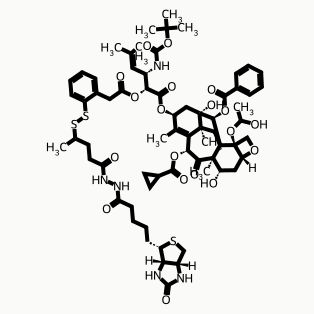 CC(C)=C[C@H](NC(=O)OC(C)(C)C)[C@@H](OC(=O)Cc1ccccc1SSC(C)CCC(=O)NNC(=O)CCCC[C@@H]1SC[C@@H]2NC(=O)N[C@@H]21)C(=O)O[C@H]1C[C@@]2(O)[C@@H](OC(=O)c3ccccc3)C34C[C@@]2(C)C(=C1C)[C@@H](OC(=O)C1CC1)C(=O)[C@]3(C)[C@@H](O)C[C@H]1OC[C@]14OC(C)O